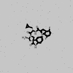 N[C@@H]1C[C@@]2(CN1C(=O)[C@H](CC1CC1)NC(=O)c1cc3c(F)ccc(F)c3[nH]1)C(=O)Nc1ccccc12